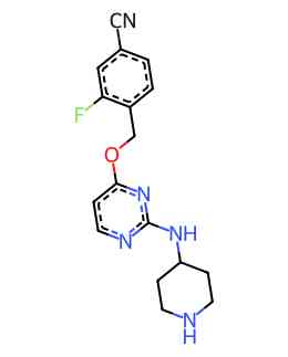 N#Cc1ccc(COc2ccnc(NC3CCNCC3)n2)c(F)c1